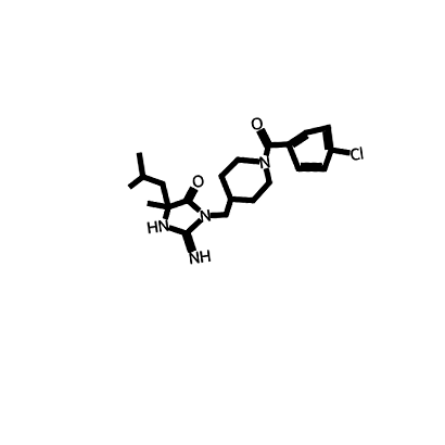 CC(C)CC1(C)NC(=N)N(CC2CCN(C(=O)c3ccc(Cl)cc3)CC2)C1=O